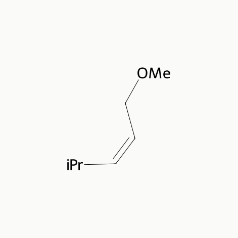 COC/C=C\C(C)C